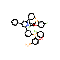 FC1=CC2C3Oc4ccc(F)cc4P2C2CC=CC(c4cc(-c5ccccc5)cc(C5CC=CC(P6c7cc(P)ccc7OC7=CCC6(F)C=C7)C5)n4)(C2)C13